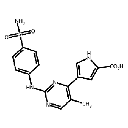 Cc1cnc(Nc2ccc(S(N)(=O)=O)cc2)nc1-c1c[nH]c(C(=O)O)c1